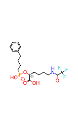 O=C(O)[C@H](CCCCNC(=O)C(F)(F)F)OP(=O)(O)CCCCc1ccccc1